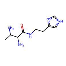 CC(N)C(N)C(=O)NCCc1c[nH]cn1